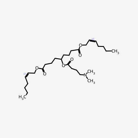 CCCC/C=C\COC(=O)CCCC(CCCC(=O)OC/C=C\CCCC)OC(=O)CCCN(C)C